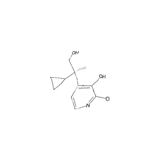 C[C@](CO)(c1ccnc(Cl)c1O)C1CC1